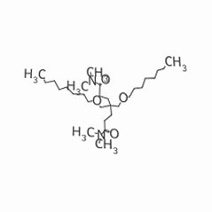 CCCCCCCCOCC(CCC(=O)N(C)C)(CCC(=O)N(C)C)COCCCCCCCC